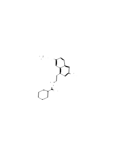 COc1ccc2cc(C(C)=O)cc(CCNC(=O)C3CCCCC3)c2c1